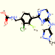 Cn1cc(Nc2ncnc(-c3ccc(CNC(=O)O)c(Cl)c3F)n2)cn1